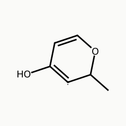 CC1[C]=C(O)C=CO1